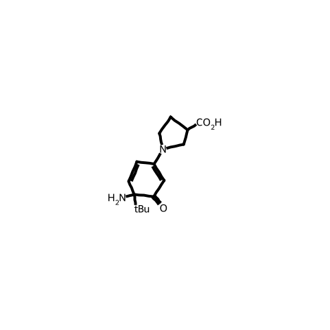 CC(C)(C)C1(N)C=CC(N2CCC(C(=O)O)C2)=CC1=O